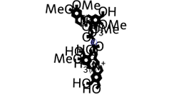 COc1cc2c(cc1OC)[C@@H](Cc1cc(CO)c(OC)c(OC)c1)[N@+](C)(CCCOC(=O)/C=C/C(=O)OCCC[N@+]1(C)CCc3cc(CO)c(CO)cc3[C@H]1Cc1cc(CO)c(CO)c(OC)c1)CC2